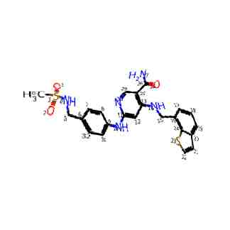 CS(=O)(=O)NCc1ccc(Nc2cc(NCc3cccc4ccsc34)c(C(N)=O)cn2)cc1